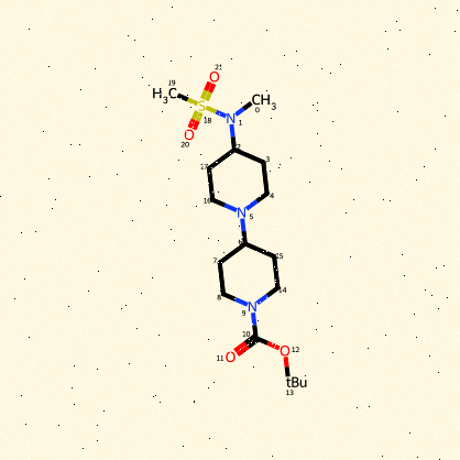 CN(C1CCN(C2CCN(C(=O)OC(C)(C)C)CC2)CC1)S(C)(=O)=O